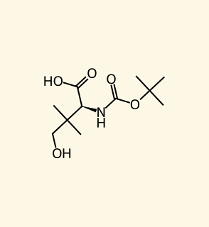 CC(C)(C)OC(=O)N[C@H](C(=O)O)C(C)(C)CO